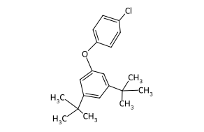 CC(C)(C)c1cc(Oc2ccc(Cl)cc2)cc(C(C)(C)C)c1